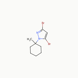 CC1(n2nc(Br)cc2Br)CCCCC1